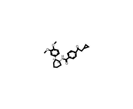 COc1ccc([C@H]2CCCC[C@H]2NC(=O)c2ccc(C(=O)CC3CC3)cc2)cc1OC